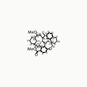 COC(=O)c1ccc2c(c1Cl)N(C[C@@H]1CC[C@H]1[C@@H](OC)[C@@H]1CCC[C@@H](O)C1)C[C@@]1(CCCc3ccccc31)CO2